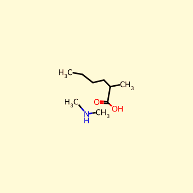 CCCCC(C)C(=O)O.CNC